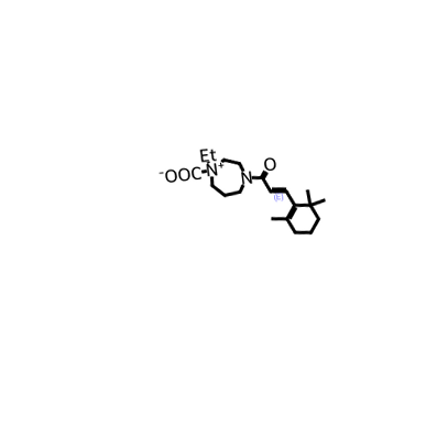 CC[N+]1(C(=O)[O-])CCCN(C(=O)/C=C/C2=C(C)CCCC2(C)C)CC1